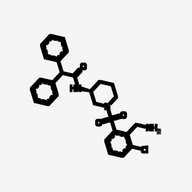 NCc1c(Cl)cccc1S(=O)(=O)N1CCC[C@H](NC(=O)C(c2ccccc2)c2ccccc2)C1